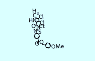 CCN(C(=O)c1[nH]c(C)c(Cl)c1Cl)c1nc2ccc(C(=O)OCc3ccc(OC)cc3)cc2s1